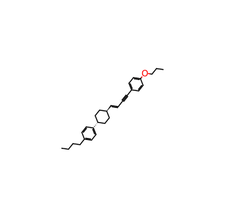 CCCCc1ccc([C@H]2CC[C@H](/C=C/C#Cc3ccc(OCCC)cc3)CC2)cc1